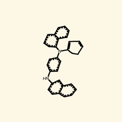 C1=CCCC(N(c2ccc(Nc3ccc4ccccc4c3)cc2)c2cccc3ccccc23)=C1